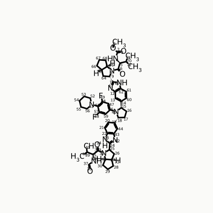 COC(=O)N[C@H](C(=O)N1[C@H](c2nc3cc([C@H]4CC[C@H](c5ccc6[nH]c(C7C[C@@H]8CCC[C@@H]8N7C(=O)[C@@H](NC=O)C(C)C)nc6c5)N4c4cc(F)c(N5CCCCC5)c(F)c4)ccc3[nH]2)C[C@@H]2CCC[C@@H]21)C(C)C